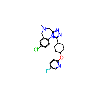 CN1Cc2cc(Cl)ccc2-n2c(nnc2C2CCC(Oc3ccc(F)cn3)CC2)C1